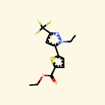 CCOC(=O)c1ccc(-c2cc(C(F)(F)F)nn2CC)s1